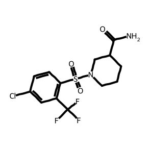 NC(=O)C1CCCN(S(=O)(=O)c2ccc(Cl)cc2C(F)(F)F)C1